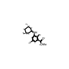 COC(=O)c1cc(F)cc(NC2C[C@@H](C)C[C@H](C)C2)c1C